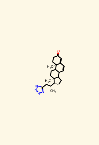 C[C@H](Cc1nnn[nH]1)[C@H]1CCC2C3C=CC4=CC(=O)CC[C@]4(C)C3CC[C@@]21C